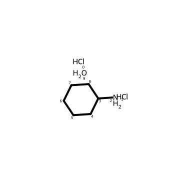 Cl.Cl.NC1CCCCC1.O